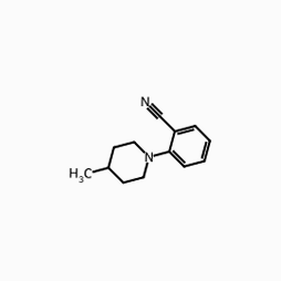 CC1CCN(c2ccccc2C#N)CC1